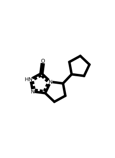 O=c1[nH]nc2n1C(C1CCCC1)CC2